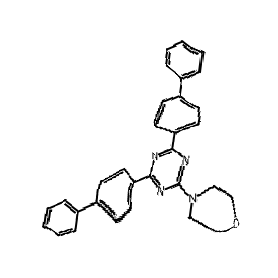 c1ccc(-c2ccc(-c3nc(-c4ccc(-c5ccccc5)cc4)nc(N4CCOCC4)n3)cc2)cc1